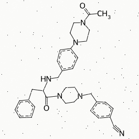 CC(=O)N1CCN(c2ccc(CNC(Cc3ccccc3)C(=O)N3CCN(Cc4ccc(C#N)cc4)CC3)cc2)CC1